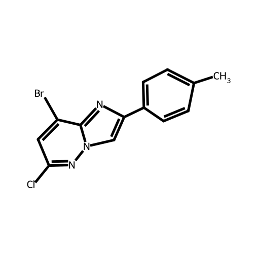 Cc1ccc(-c2cn3nc(Cl)cc(Br)c3n2)cc1